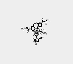 CNC(=O)C1=CC2CCc3cc(C(=O)NC)ccc3C(C[C@H](NCC(=O)N3C(C#N)C[C@@H]4C[C@@H]43)C(C)(C)C)(c3nnn[nH]3)C2C=C1